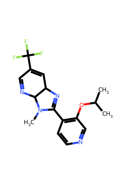 CC(C)Oc1cnccc1C1=NC2C=C(C(F)(F)F)C=NC2N1C